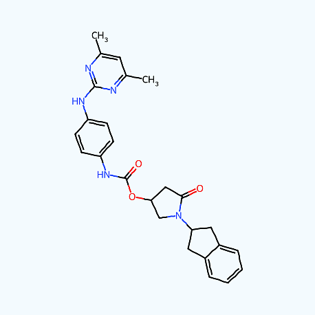 Cc1cc(C)nc(Nc2ccc(NC(=O)OC3CC(=O)N(C4Cc5ccccc5C4)C3)cc2)n1